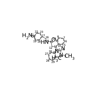 CN(C)C1=Nc2ccccc2C(CC(=O)NCc2ccc(N)cc2)N1c1ccccc1